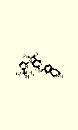 CC(C)n1c(=O)c2cnc(Nc3ccc4c(c3)CNCC4)cc2n1-c1ccnc(C(C)(C)O)n1